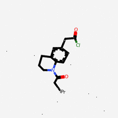 CC(C)CC(=O)N1CCCc2cc(CC(=O)Cl)ccc21